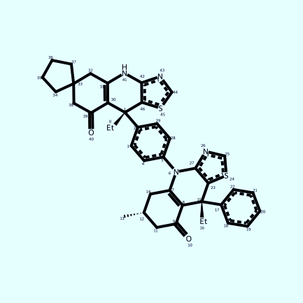 CC[C@@]1(c2ccc(N3C4=C(C(=O)C[C@H](C)C4)[C@@](CC)(c4ccccc4)c4scnc43)cc2)C2=C(CC3(CCCC3)CC2=O)Nc2ncsc21